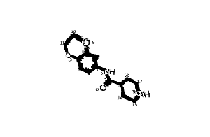 O=C(Nc1ccc2c(c1)OCCO2)C1CCNCC1